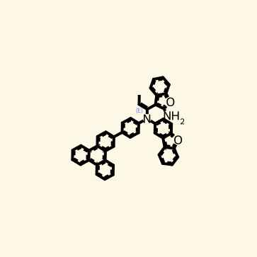 C/C=C(\c1c(N)oc2ccccc12)N(c1ccc(-c2ccc3c4ccccc4c4ccccc4c3c2)cc1)c1ccc2oc3ccccc3c2c1